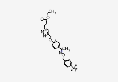 CCOC(=O)CCn1nnc(COc2ccc(/C(C)=N/OCc3ccc(C(F)(F)F)cc3)cn2)n1